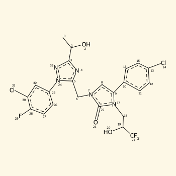 CC(O)c1nc(Cn2cc(-c3ccc(Cl)cc3)n(CC(O)C(F)(F)F)c2=O)n(-c2ccc(F)c(Cl)c2)n1